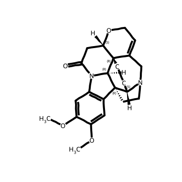 COc1cc2c(cc1OC)[C@@]13CCN4CC5=CCO[C@H]6CC(=O)N2[C@H]1[C@@]56CC[C@H]43